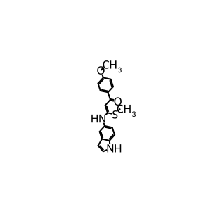 COc1ccc(C(=O)/C=C(/Nc2ccc3[nH]ccc3c2)SC)cc1